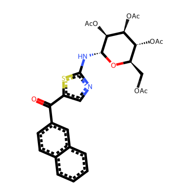 CC(=O)OC[C@H]1O[C@H](Nc2ncc(C(=O)c3ccc4ccccc4c3)s2)[C@@H](OC(C)=O)[C@@H](OC(C)=O)[C@@H]1OC(C)=O